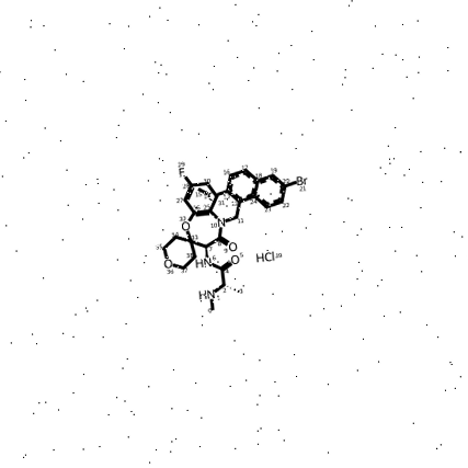 CN[C@@H](C)C(=O)N[C@@H]1C(=O)N(Cc2c(OC)ccc3cc(Br)ccc23)C2=C(C=C(F)CC2)OC12CCOCC2.Cl